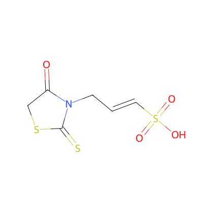 O=C1CSC(=S)N1CC=CS(=O)(=O)O